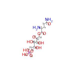 NC(=O)CCC(N)C(=O)OCC(=O)C(O)C(O)C(O)COP(=O)(O)O